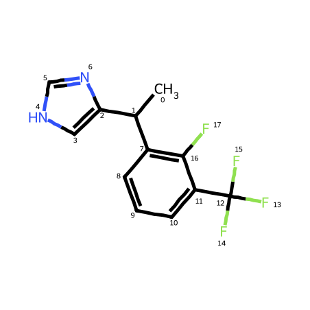 CC(c1c[nH]cn1)c1cccc(C(F)(F)F)c1F